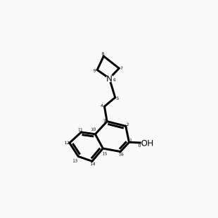 Oc1cc(CCN2CCC2)c2ccccc2c1